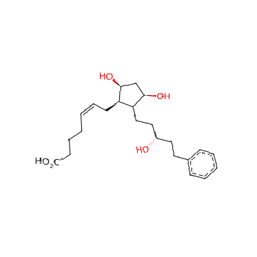 O=C(O)CCC/C=C\C[C@@H]1C(CC[C@@H](O)CCc2ccccc2)[C@H](O)C[C@@H]1O